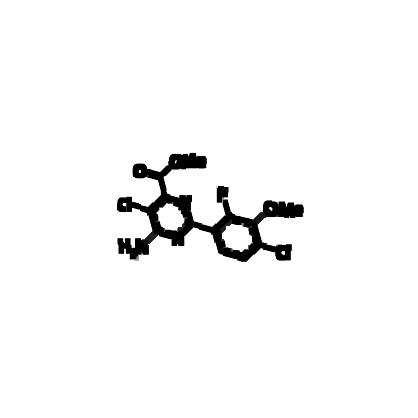 COC(=O)c1nc(-c2ccc(Cl)c(OC)c2F)nc(N)c1Cl